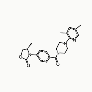 Cc1cnc(N2CCN(C(=O)c3ccc(N4C(=O)OC[C@H]4C)cc3)CC2)c(C)c1